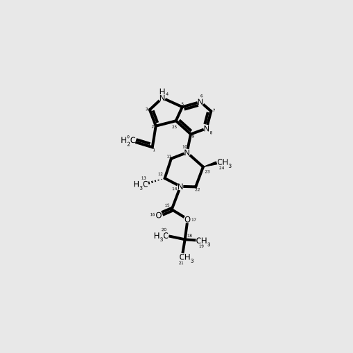 C=Cc1c[nH]c2ncnc(N3C[C@@H](C)N(C(=O)OC(C)(C)C)C[C@@H]3C)c12